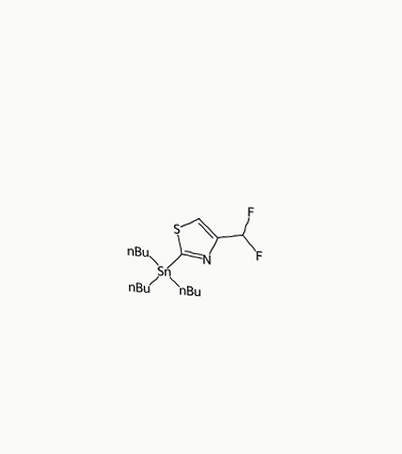 CCC[CH2][Sn]([CH2]CCC)([CH2]CCC)[c]1nc(C(F)F)cs1